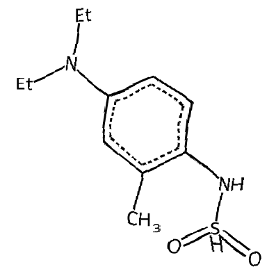 CCN(CC)c1ccc(N[SH](=O)=O)c(C)c1